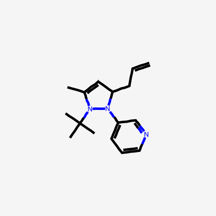 C=CCC1[C]=C(C)N(C(C)(C)C)N1c1cccnc1